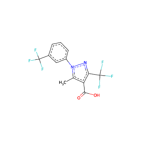 Cc1c(C(=O)O)c(C(F)(F)F)nn1-c1cccc(C(F)(F)F)c1